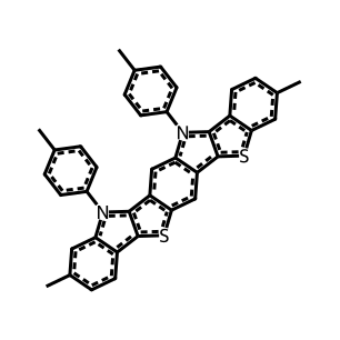 Cc1ccc(-n2c3cc(C)ccc3c3sc4cc5c6sc7cc(C)ccc7c6n(-c6ccc(C)cc6)c5cc4c32)cc1